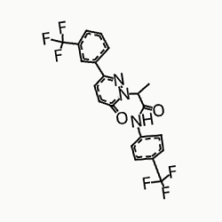 CC(C(=O)Nc1ccc(C(F)(F)F)cc1)n1nc(-c2cccc(C(F)(F)F)c2)ccc1=O